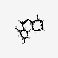 CC(=Cc1ccccc1C)c1ccc(C)cc1C